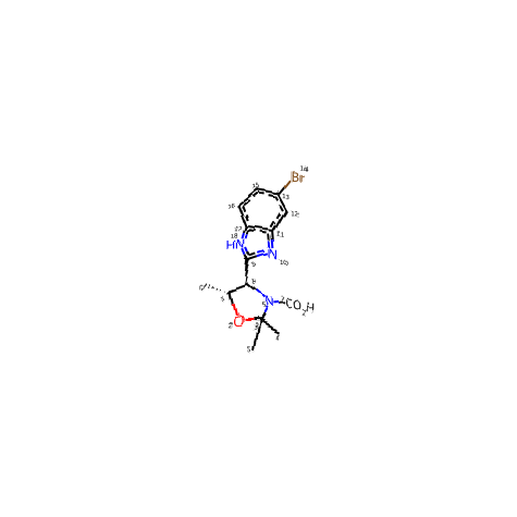 C[C@H]1OC(C)(C)N(C(=O)O)[C@@H]1c1nc2cc(Br)ccc2[nH]1